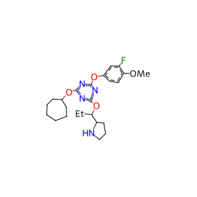 CCC(Oc1nc(Oc2ccc(OC)c(F)c2)nc(OC2CCCCCC2)n1)C1CCCN1